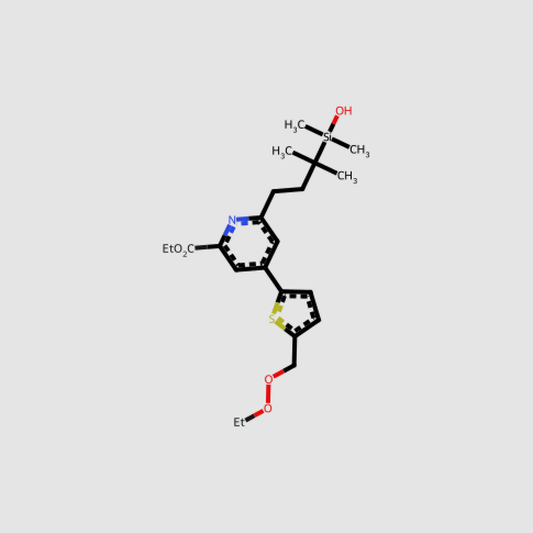 CCOOCc1ccc(-c2cc(CCC(C)(C)[Si](C)(C)O)nc(C(=O)OCC)c2)s1